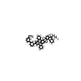 CC1(C)c2ccccc2-c2c1ccc1c2Oc2cccc(-c3ccccc3-c3nc(-c4ccccc4)cc(-c4cccc(-c5cccc(C#N)c5)c4)n3)c2O1